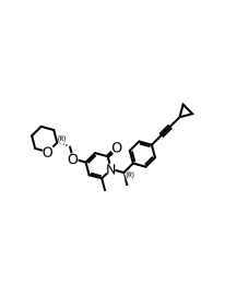 Cc1cc(OC[C@H]2CCCCO2)cc(=O)n1[C@H](C)c1ccc(C#CC2CC2)cc1